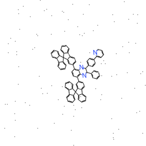 c1ccc(-c2nc3c(-c4ccc5c(c4)C4(c6ccccc6-c6ccccc64)c4ccccc4-5)ccc(-c4ccc5c(c4)C4(c6ccccc6-c6ccccc64)c4ccccc4-5)c3nc2-c2ccc(-c3ccccn3)cc2)cc1